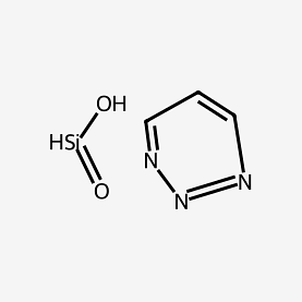 O=[SiH]O.c1cnnnc1